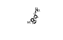 CCN(CC)CCO[C@@H]1C[C@H](C)CN(c2ccc(C#N)c3nccnc23)C1